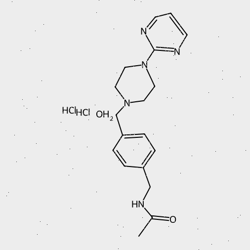 CC(=O)NCc1ccc(CN2CCN(c3ncccn3)CC2)cc1.Cl.Cl.O